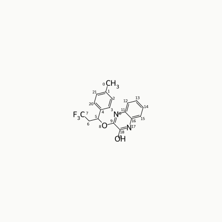 Cc1ccc(C(CC(F)(F)F)Oc2nc3ccccc3nc2O)cc1